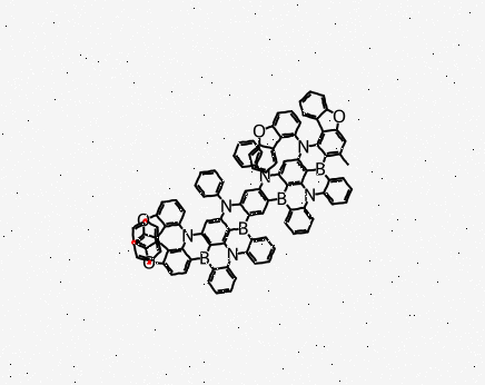 Cc1cc2oc3ccccc3c2c2c1B1c3ccccc3N3c4ccccc4B4c5cc6c(cc5N(c5ccccc5)c5cc(c1c3c54)N2c1cccc2oc3ccccc3c12)N(c1ccccc1)c1cc2c3c4c1B6c1ccccc1N4c1ccccc1B3c1ccc3oc4ccccc4c3c1N2c1cccc2oc3ccccc3c12